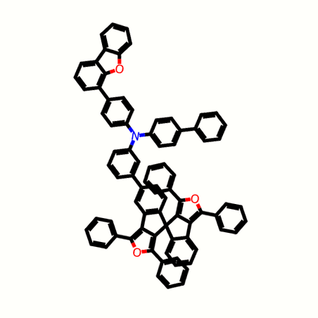 c1ccc(-c2ccc(N(c3ccc(-c4cccc5c4oc4ccccc45)cc3)c3cccc(-c4ccc5c(c4)-c4c(-c6ccccc6)oc(-c6ccccc6)c4C54c5ccccc5-c5c(-c6ccccc6)oc(-c6ccccc6)c54)c3)cc2)cc1